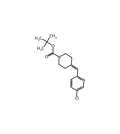 CC(C)(C)OC(=O)N1CCC(=Cc2ccc(Cl)cn2)CC1